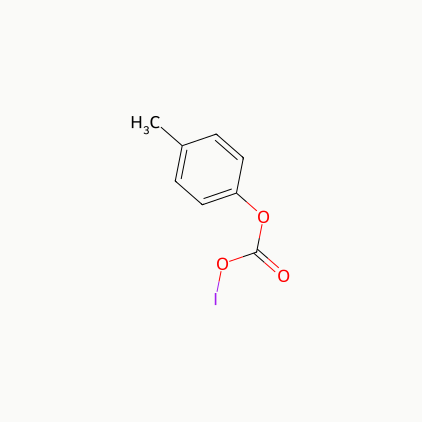 Cc1ccc(OC(=O)OI)cc1